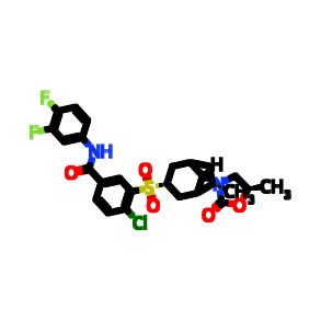 C[C@@H]1CN([C@H]2C3C[C@@H](S(=O)(=O)c4cc(C(=O)Nc5ccc(F)c(F)c5)ccc4Cl)CC2[C@@H](C)C3)C(=O)O1